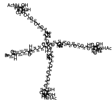 CC(=O)N[C@H]1[C@H]2OC[C@](COCCOCCOCCOCCn3cc(COCC(COCc4cn(CCOCCOCCOCCOC[C@@]56CO[C@@H](O5)[C@H](NC(C)=O)[C@@H](O)[C@H]6O)nn4)(COCc4cn(CCOCCOCCOCCOC[C@@]56CO[C@@H](O5)[C@H](NC(C)=O)[C@@H](O)[C@H]6O)nn4)NC(=O)CCCCCNC(=O)CCCCCNC(=O)CBr)nn3)(O2)[C@H](O)[C@@H]1O